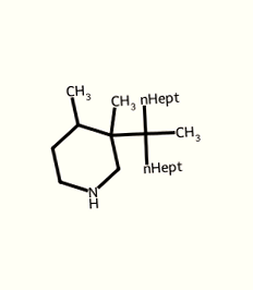 CCCCCCCC(C)(CCCCCCC)C1(C)CNCCC1C